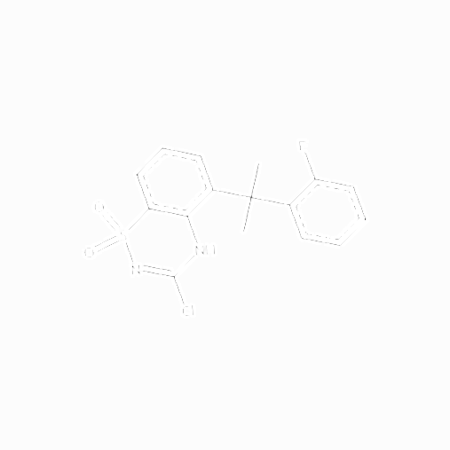 CC(C)(c1ccccc1F)c1cccc2c1NC(Cl)=NS2(=O)=O